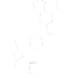 Cc1nn(C)c(C(N)=O)c1[C@H]1CC[C@@H](Nc2cc(N(C)C)c3ccccc3n2)CC1